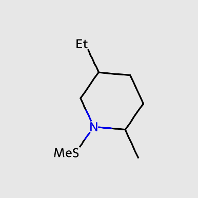 CCC1CCC(C)N(SC)C1